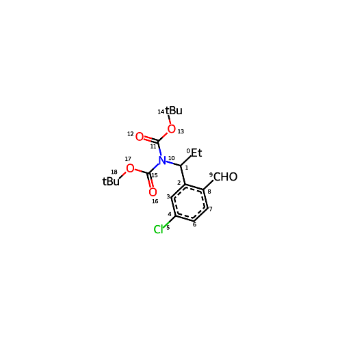 CCC(c1cc(Cl)ccc1C=O)N(C(=O)OC(C)(C)C)C(=O)OC(C)(C)C